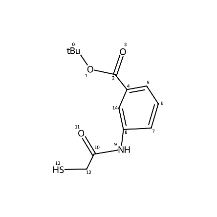 CC(C)(C)OC(=O)c1cccc(NC(=O)CS)c1